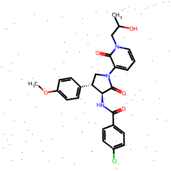 COc1ccc([C@@H]2CN(c3cccn(CC(C)O)c3=O)C(=O)[C@H]2NC(=O)c2ccc(Cl)cc2)cc1